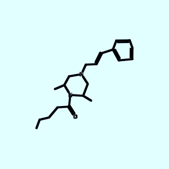 CCCCC(=O)N1C(C)CN(CC=Cc2ccccc2)CC1C